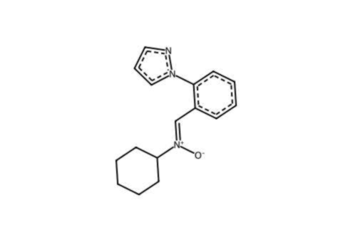 [O-][N+](=Cc1ccccc1-n1cccn1)C1CCCCC1